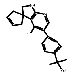 CC(C)(O)c1ccc(-c2cnc3c(c2Cl)C2(CC=CC2)CN3)cc1